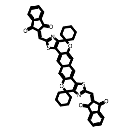 O=C1C(=Cc2nc3c(s2)C2=CC4C=C5OC6(CCCCC6)c6nc(C=C7C(=O)c8ccccc8C7=O)sc6C5=CC4C=C2OC32CCCCC2)C(=O)c2ccccc21